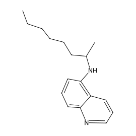 CCCCCCC(C)Nc1cccc2ncccc12